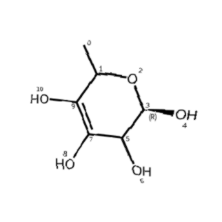 CC1O[C@@H](O)C(O)C(O)=C1O